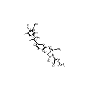 COC(=O)NC(C)CC1C(C)C1Sc1cc(C(=O)Nc2cc(F)c(F)c(F)c2)ccc1Cl